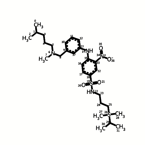 CC(C)CCCN(C)Cc1cccc(Nc2ccc(S(=O)(=O)NCCCS(C)(C)C(C)C)cc2[N+](=O)[O-])c1